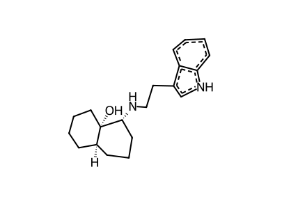 O[C@@]12CCCC[C@@H]1CCC[C@H]2NCCc1c[nH]c2ccccc12